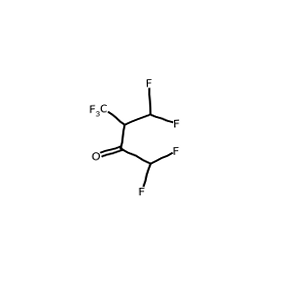 O=C(C(F)F)C(C(F)F)C(F)(F)F